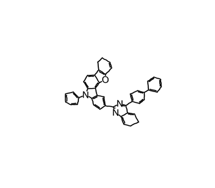 C1=Cc2oc3c(ccc4c3c3cc(-c5nc(-c6ccc(-c7ccccc7)cc6)c6c(n5)=CCCC=6)ccc3n4-c3ccccc3)c2CC1